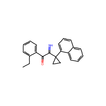 CCc1ccccc1C(=O)C(=N)C1(c2cccc3ccccc23)CC1